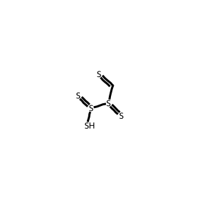 S=CS(=S)S(=S)S